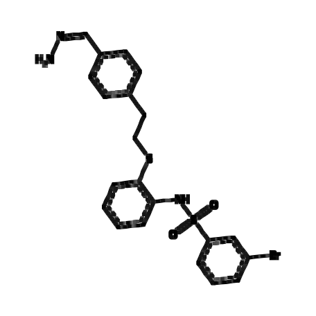 N/N=C\c1ccc(CCSc2ccccc2NS(=O)(=O)c2cccc(Br)c2)cc1